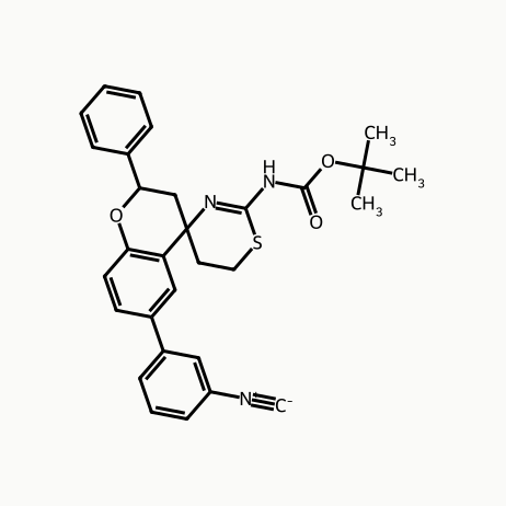 [C-]#[N+]c1cccc(-c2ccc3c(c2)C2(CCSC(NC(=O)OC(C)(C)C)=N2)CC(c2ccccc2)O3)c1